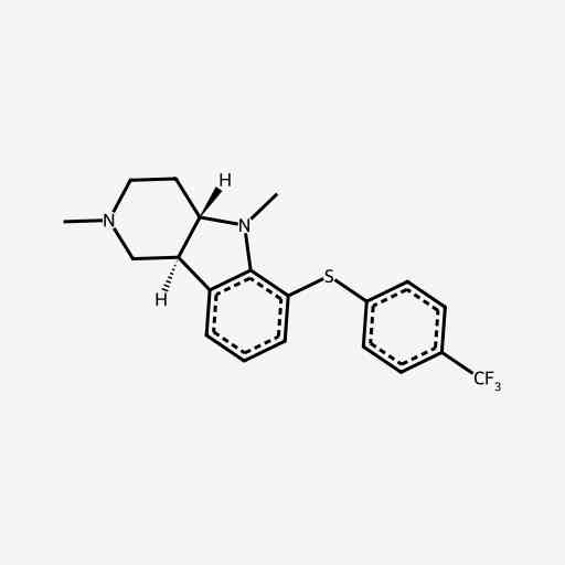 CN1CC[C@H]2[C@H](C1)c1cccc(Sc3ccc(C(F)(F)F)cc3)c1N2C